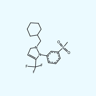 CS(=O)(=O)c1cccc(N2C(C(F)(F)F)=CCN2CC2CCCCC2)c1